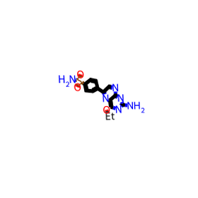 CCOc1nc(N)nc2ncc(-c3ccc(S(N)(=O)=O)cc3)nc12